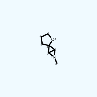 CN1C2C1C21CCCO1